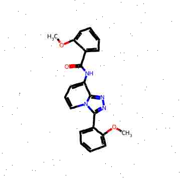 COc1ccccc1C(=O)Nc1cccn2c(-c3ccccc3OC)nnc12